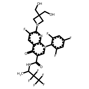 CC(NC(=O)c1cn(-c2c(F)cc(F)cc2F)c2nc(N3CC(CO)(CO)C3)c(F)cc2c1=O)C(F)(F)C(F)(F)F